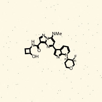 CNc1cc(-c2cnc3n([C@@H]4CCOC[C@@H]4F)cccc2-3)nc2c(C(=O)NC3CCC3O)cnn12